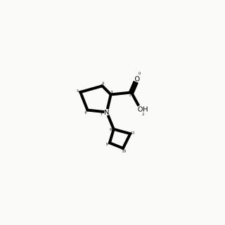 O=C(O)C1CCCN1C1CCC1